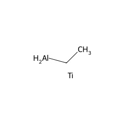 C[CH2][AlH2].[Ti]